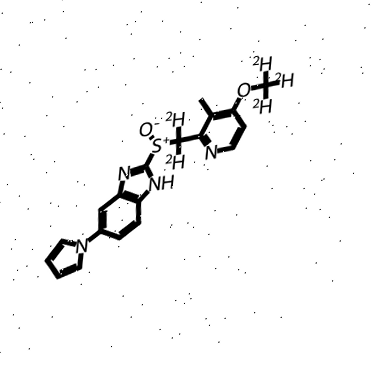 [2H]C([2H])([2H])Oc1ccnc(C([2H])([2H])[S+]([O-])c2nc3cc(-n4cccc4)ccc3[nH]2)c1C